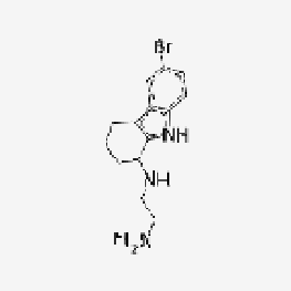 NCCNC1CCCc2c1[nH]c1ccc(Br)cc21